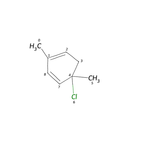 CC1=CCC(C)(Cl)C=C1